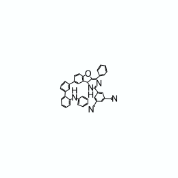 N#Cc1cc(C#N)cc(C2=NC(c3ccccc3)=C3Oc4ccc(-c5cccc(-c6ccccc6Nc6ccccc6)c5)cc4C3N2)c1